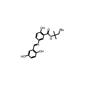 CC(C)(C)CC(C)(C)NC(=O)c1cc(N=Cc2cc(O)ccc2O)ccc1O